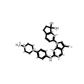 CCC1(O)CCc2ccc(-n3cc(F)c4cnc(Nc5ccc(N6CCN(C)CC6)cc5)nc43)nc21